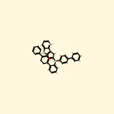 C1=C(c2ccccc2)CCC(c2ccccc2N(C2=Cc3oc4cccnc4c3C2)c2ccc(-c3ccccc3)cc2)=C1